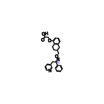 O=C(O)COc1cccc2c1CCC(CO/N=C(\Cc1cccnc1)c1ccccc1)C2